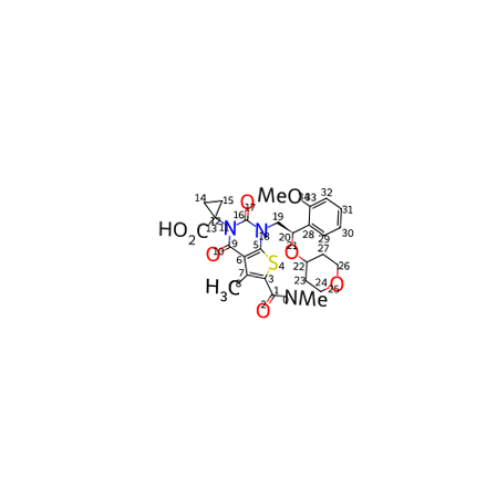 CNC(=O)c1sc2c(c1C)c(=O)n(C1(C(=O)O)CC1)c(=O)n2C[C@H](OC1CCOCC1)c1ccccc1OC